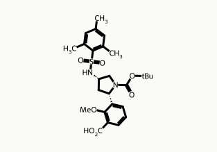 COc1c(C(=O)O)cccc1[C@@H]1C[C@H](NS(=O)(=O)c2c(C)cc(C)cc2C)CN1C(=O)OC(C)(C)C